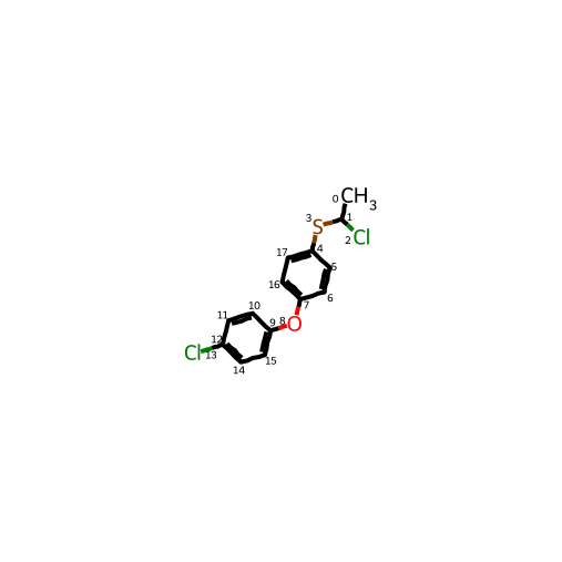 CC(Cl)Sc1ccc(Oc2ccc(Cl)cc2)cc1